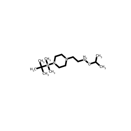 CC(C)O[SiH2]CCN1CCN([Si](C)(C)C(C)(C)C)CC1